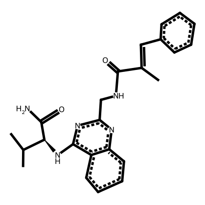 C/C(=C\c1ccccc1)C(=O)NCc1nc(N[C@H](C(N)=O)C(C)C)c2ccccc2n1